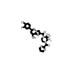 CC(C)(C)c1cc(-c2ccc(Cl)c(F)c2)nn2cc(C(=O)N3CCN(C(=O)c4ncccn4)CC3(C)C)nc12